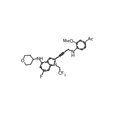 COc1cc(C(C)=O)ccc1NCC#Cc1cc2c(NC3CCOCC3)cc(F)cc2n1CC(F)(F)F